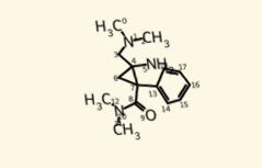 CN(C)CC1(N)CC1(C(=O)N(C)C)c1ccccc1